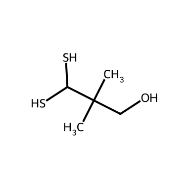 CC(C)(CO)C(S)S